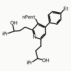 CCCCCc1c(-c2ccc(CC)cc2)cc(CCC(O)C(C)C)nc1CCC(O)C(C)C